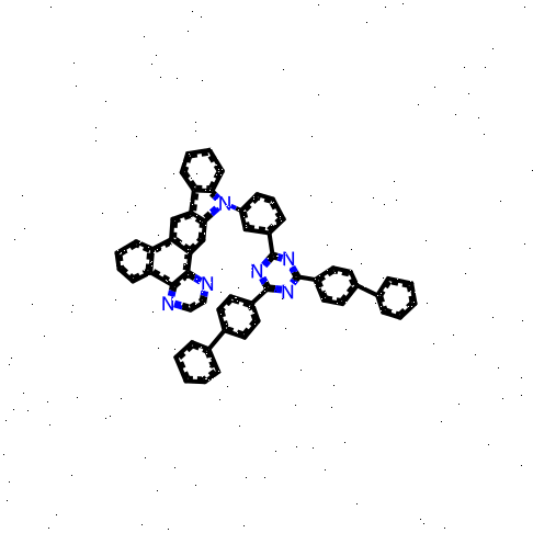 c1ccc(-c2ccc(-c3nc(-c4ccc(-c5ccccc5)cc4)nc(-c4cccc(-n5c6ccccc6c6cc7c8ccccc8c8nccnc8c7cc65)c4)n3)cc2)cc1